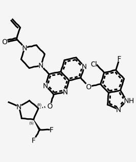 C=CC(=O)N1CCN(c2nc(O[C@H]3CN(C)C[C@@H]3C(F)F)nc3c(Oc4c(Cl)c(F)cc5[nH]ncc45)nccc23)CC1